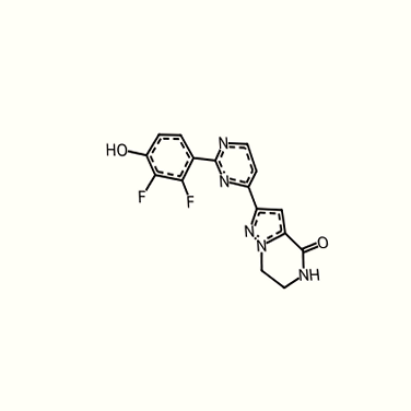 O=C1NCCn2nc(-c3ccnc(-c4ccc(O)c(F)c4F)n3)cc21